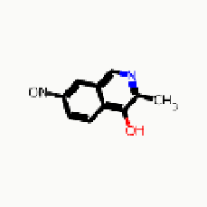 Cc1ncc2cc(N=O)ccc2c1O